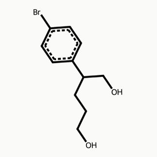 OCCCC(CO)c1ccc(Br)cc1